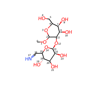 COC1OC(CO)[C@@H](O)[C@@H](O)C1O[C@@H]1OC(C=N)[C@@H](O)C(O)[C@@H]1O